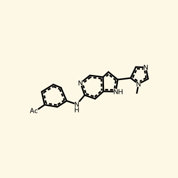 CC(=O)c1cccc(Nc2cc3[nH]c(-c4cncn4C)cc3cn2)c1